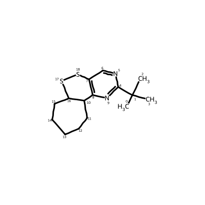 CC(C)(C)c1ncc2c(n1)C1CCCCCC1SS2